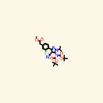 COC(=O)Cc1ccc(-c2nn(C(C)C)c(N(C(=O)OC(C)(C)C)C(=O)OC(C)(C)C)c2C#N)c(Cl)c1